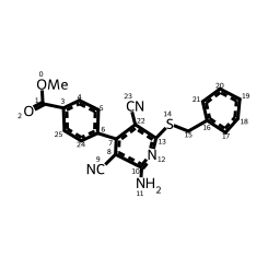 COC(=O)c1ccc(-c2c(C#N)c(N)nc(SCc3ccccc3)c2C#N)cc1